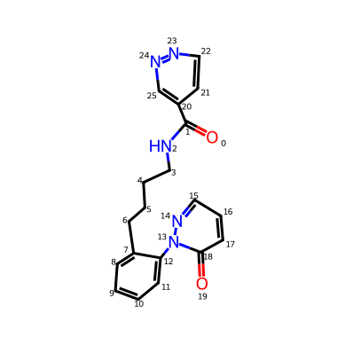 O=C(NCCCCc1ccccc1-n1ncccc1=O)c1ccnnc1